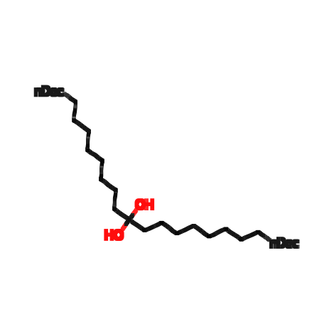 CCCCCCCCCCCCCCCCCCC(O)(O)CCCCCCCCCCCCCCCCCC